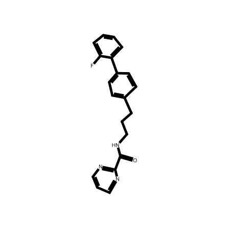 O=C(NCCCc1ccc(-c2ccccc2F)cc1)c1ncccn1